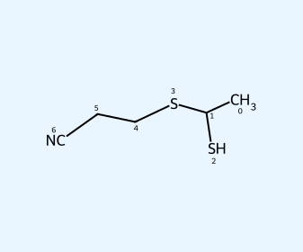 CC(S)SCCC#N